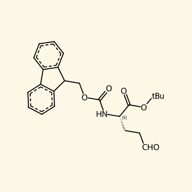 CC(C)(C)OC(=O)[C@H](CCC=O)NC(=O)OCC1c2ccccc2-c2ccccc21